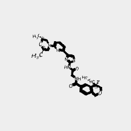 C#[N+][C@@]1(F)COCc2ccc(C(=O)NCC(=O)Nc3nc(-c4cccc(N5C[C@@H](C)O[C@@H](C)C5)n4)cs3)cc21